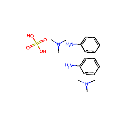 CN(C)C.CN(C)C.Nc1ccccc1.Nc1ccccc1.O=S(=O)(O)O